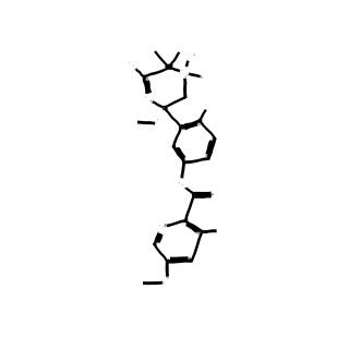 COc1cnc(C(=O)Nc2ccc(F)c([C@]3(CF)CS(O)(O)C(C)(C)C(N)=N3)c2)c(C)c1